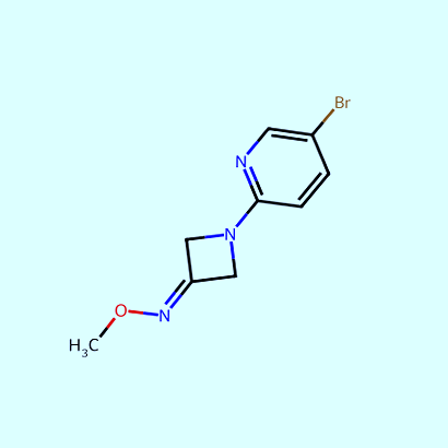 CON=C1CN(c2ccc(Br)cn2)C1